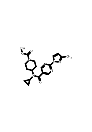 Cc1ccn(-c2ncc(C(=O)N(C3CC3)C3CCN(C(=O)OC(C)(C)C)CC3)cn2)n1